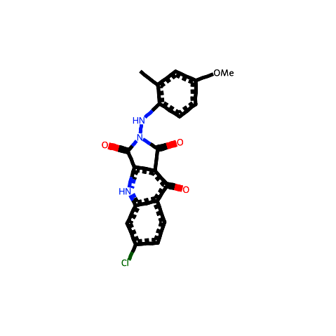 COc1ccc(NN2C(=O)c3[nH]c4cc(Cl)ccc4c(=O)c3C2=O)c(C)c1